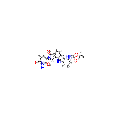 CC(C)(C)OC(=O)NC1CCCC(Nc2cccc3c2CN(C2CCC(=O)NC2=O)C3=O)C1